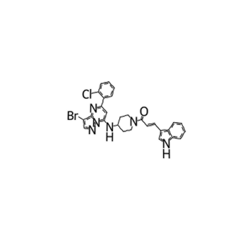 O=C(/C=C/c1c[nH]c2ccccc12)N1CCC(Nc2cc(-c3ccccc3Cl)nc3c(Br)cnn23)CC1